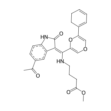 COC(=O)CCCNC(C1=COC=C(C2=CC=CCC2)O1)=C1C(=O)Nc2ccc(C(C)=O)cc21